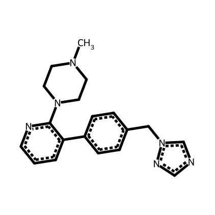 CN1CCN(c2ncccc2-c2ccc(Cn3cncn3)cc2)CC1